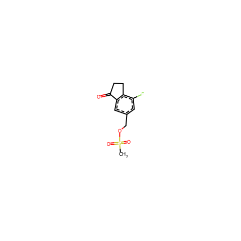 CS(=O)(=O)OCc1cc(F)c2c(c1)C(=O)CC2